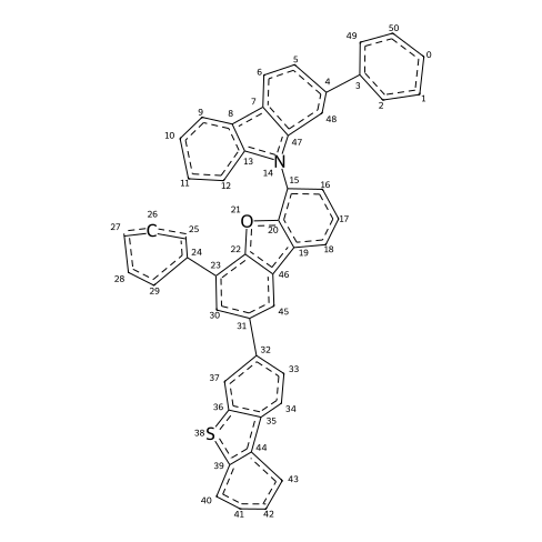 c1ccc(-c2ccc3c4ccccc4n(-c4cccc5c4oc4c(-c6ccccc6)cc(-c6ccc7c(c6)sc6ccccc67)cc45)c3c2)cc1